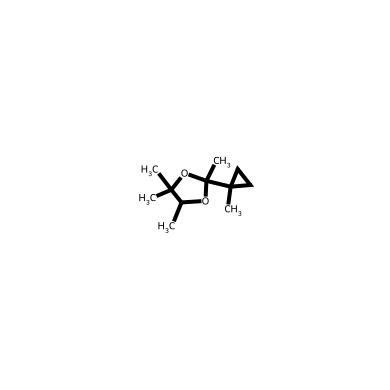 CC1OC(C)(C2(C)CC2)OC1(C)C